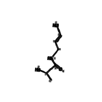 CC(O)C(=O)NCC=CO